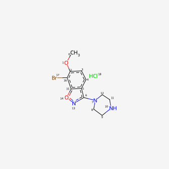 COc1ccc2c(N3CCNCC3)noc2c1Br.Cl